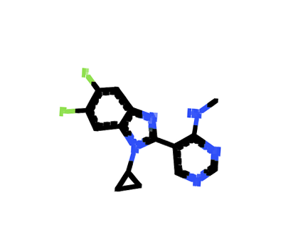 CNc1ncncc1-c1nc2cc(F)c(F)cc2n1C1CC1